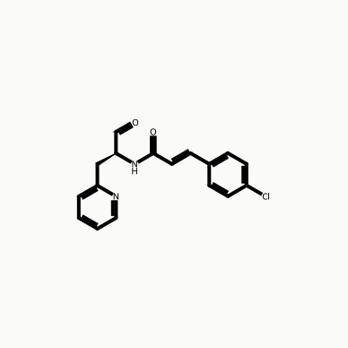 O=[C][C@H](Cc1ccccn1)NC(=O)/C=C/c1ccc(Cl)cc1